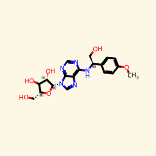 COc1ccc([C@H](CO)Nc2ncnc3c2ncn3[C@@H]2O[C@H](CO)C(O)[C@@H]2O)cc1